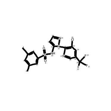 Cc1cc(C)cc(S(=O)(=O)Nc2ccnn2-c2ncc(C(F)(F)F)cc2Cl)c1